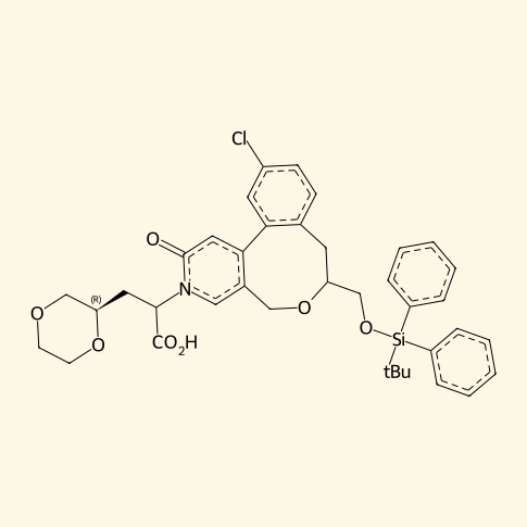 CC(C)(C)[Si](OCC1Cc2ccc(Cl)cc2-c2cc(=O)n(C(C[C@@H]3COCCO3)C(=O)O)cc2CO1)(c1ccccc1)c1ccccc1